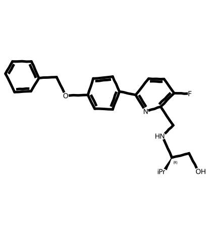 CC(C)[C@H](CO)NCc1nc(-c2ccc(OCc3ccccc3)cc2)ccc1F